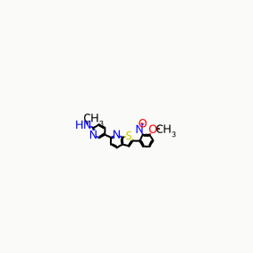 CNc1ccc(-c2ccc3cc(-c4cccc(OC)c4N=O)sc3n2)cn1